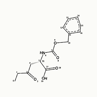 CCC(=O)C[C@H](NC(=O)OCc1ccccc1)C(=O)O